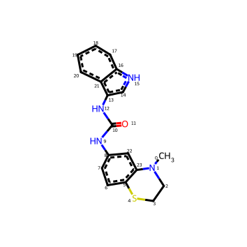 CN1CCSc2ccc(NC(=O)Nc3c[nH]c4ccccc34)cc21